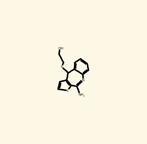 NC1=Nc2ccccc2C(SCCO)c2ccsc21